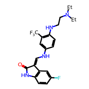 CCN(CC)CCNc1ccc(N/C=C2/C(=O)Nc3ccc(F)cc32)cc1C(F)(F)F